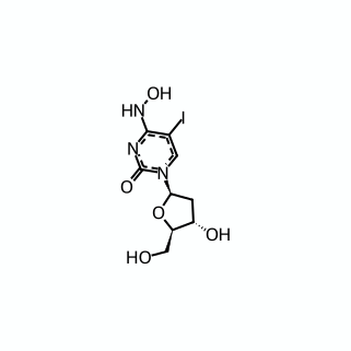 O=c1nc(NO)c(I)cn1[C@H]1C[C@H](O)[C@@H](CO)O1